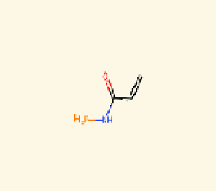 C=CC(=O)NP